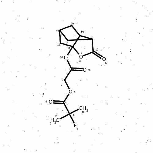 CC(C)(F)C(=O)OCC(=O)OC12CC3CC(C(=O)O1)C2C3